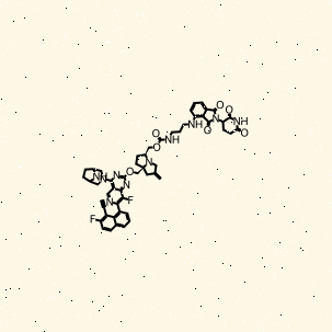 C#Cc1c(F)ccc2cccc(-c3ncc4c(N5CC6CCC(C5)N6)nc(OC[C@@]56CC[C@@H](COC(=O)NCCCNc7cccc8c7C(=O)N(C7CCC(=O)NC7=O)C8=O)N5CC(=C)C6)nc4c3F)c12